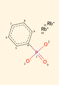 O=P([O-])([O-])c1ccccc1.[Rb+].[Rb+]